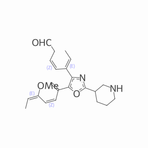 C=C(/C=C\C(=C/C)OC)c1oc(C2CCCNC2)nc1C(/C=C\CC=O)=C/C